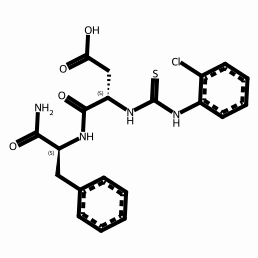 NC(=O)[C@H](Cc1ccccc1)NC(=O)[C@H](CC(=O)O)NC(=S)Nc1ccccc1Cl